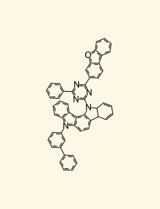 C1=CC2c3ccc4c(c3N(c3nc(-c5ccccc5)nc(-c5ccc6c(c5)oc5ccccc56)n3)C2C=C1)c1ccccc1n4-c1cccc(-c2ccccc2)c1